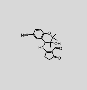 CC1(C)Oc2ccc(C#N)cc2C(NC2=C(C=O)C(=O)CC2)C1(C)O